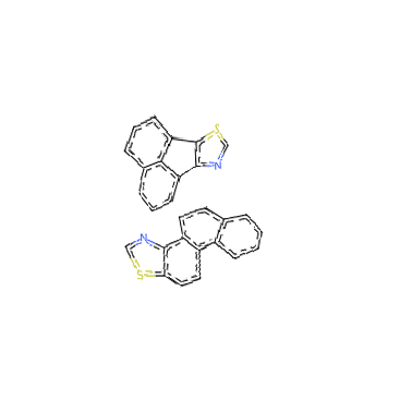 c1cc2c3c(cccc3c1)-c1scnc1-2.c1ccc2c(c1)ccc1c2ccc2scnc21